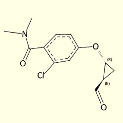 CN(C)C(=O)c1ccc(O[C@@H]2C[C@H]2C=O)cc1Cl